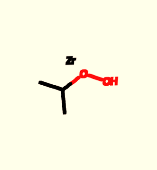 CC(C)OO.[Zr]